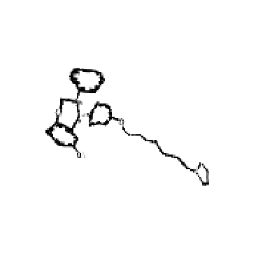 Oc1ccc2c(c1)[C@@H](c1ccc(OCCCCCCCN3CCCC3)cc1)[C@H](c1ccccc1)CO2